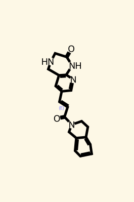 O=C1CNCc2cc(/C=C/C(=O)N3CCc4ccccc4C3)cnc2N1